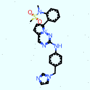 CN(c1ccccc1-c1ccc2cnc(Nc3ccc(Cn4ccnc4)cc3)nn12)S(C)(=O)=O